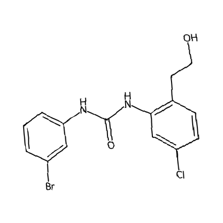 O=C(Nc1cccc(Br)c1)Nc1cc(Cl)ccc1CCO